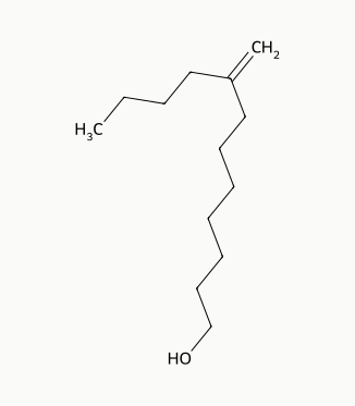 C=C(CCCC)CCCCCCCO